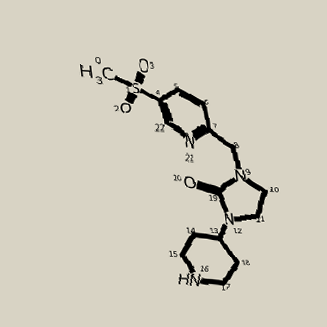 CS(=O)(=O)c1ccc(CN2CCN(C3CCNCC3)C2=O)nc1